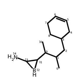 CC(CC1CC=CCC1)C(C)C1BC1N